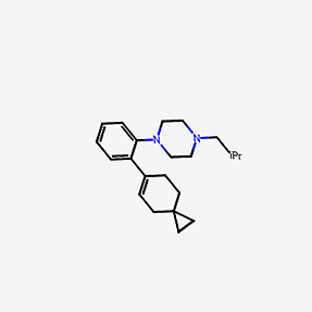 CC(C)CN1CCN(c2ccccc2C2=CCC3(CC2)CC3)CC1